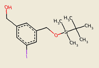 CC(C)(C)[Si](C)(C)OCc1cc(I)cc(CO)c1